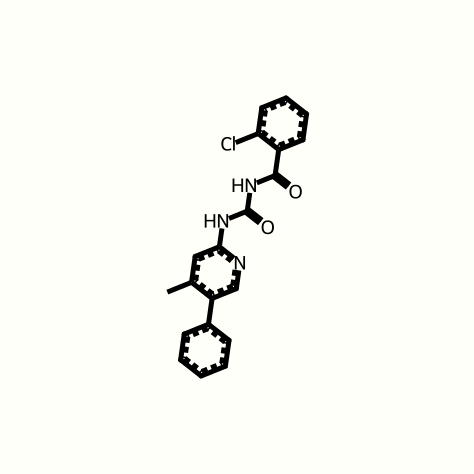 Cc1cc(NC(=O)NC(=O)c2ccccc2Cl)ncc1-c1ccccc1